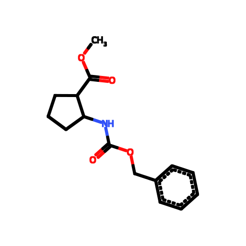 COC(=O)C1CCCC1NC(=O)OCc1ccccc1